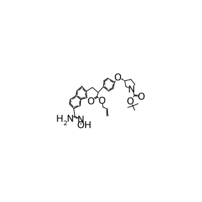 C=CCOC(=O)C(Cc1ccc2ccc(C(N)=NO)cc2c1)c1ccc(O[C@H]2CCN(C(=O)OC(C)(C)C)C2)cc1